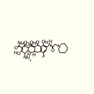 NC(=O)C1=C(O)[C@H](N)[C@@H]2C[C@@H]3Cc4c(F)cc(NC(=O)CN5CCCCCCC5)c(O)c4C(=O)C3=C(O)[C@]2(O)C1=O